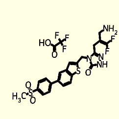 CS(=O)(=O)c1ccc(-c2ccc3sc(Cn4c(CC(CN)=C(F)F)n[nH]c4=O)cc3c2)cc1.O=C(O)C(F)(F)F